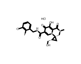 CN1C[C@@]2(C[C@@H]2CO)n2cc(C(=O)NCc3cccc(Cl)c3F)c(=O)c(O)c2C1=O.Cl